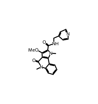 COc1c(C(=O)NCc2ccncc2)n(C)c2c1c(=O)n(C)c1ccccc21